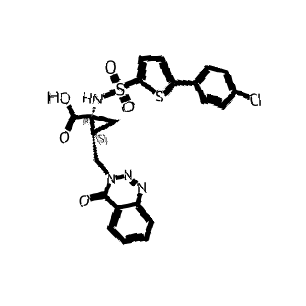 O=C(O)[C@@]1(NS(=O)(=O)c2ccc(-c3ccc(Cl)cc3)s2)C[C@H]1Cn1nnc2ccccc2c1=O